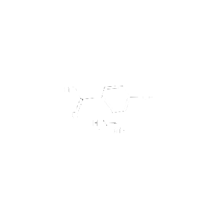 Br.CN.O=C(O)c1ccc(O)cc1